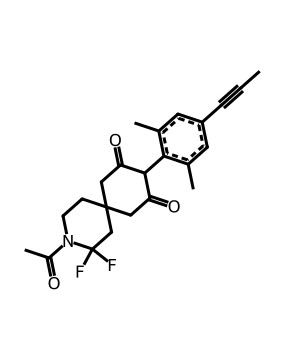 CC#Cc1cc(C)c(C2C(=O)CC3(CCN(C(C)=O)C(F)(F)C3)CC2=O)c(C)c1